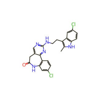 Cc1[nH]c2ccc(Cl)cc2c1CCNc1ncc2c(n1)-c1ccc(Cl)cc1NC(=O)C2